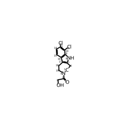 O=C(CO)N1CCc2[nH]c3c(Cl)c(Cl)ccc3c2CC1